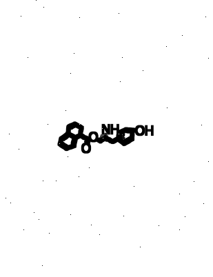 N[C@@H](COC(=O)C1CC=Cc2ccccc21)Cc1ccc(O)cc1